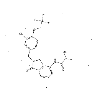 CC(O)C(=O)Nc1nccc2c1CN(Cc1ccc(OCC(F)(F)F)c(Cl)c1)C2=O